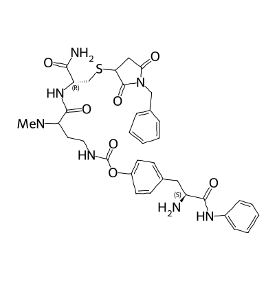 CNC(CCNC(=O)Oc1ccc(C[C@H](N)C(=O)Nc2ccccc2)cc1)C(=O)N[C@@H](CSC1CC(=O)N(Cc2ccccc2)C1=O)C(N)=O